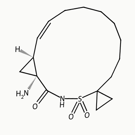 N[C@]12C[C@H]1/C=C\CCCCCCCC1(CC1)S(=O)(=O)NC2=O